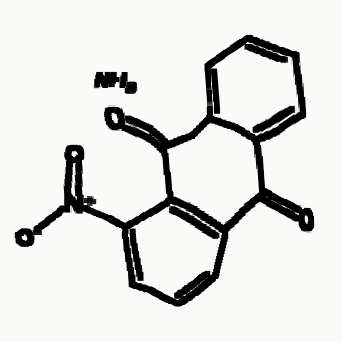 N.O=C1c2ccccc2C(=O)c2c1cccc2[N+](=O)[O-]